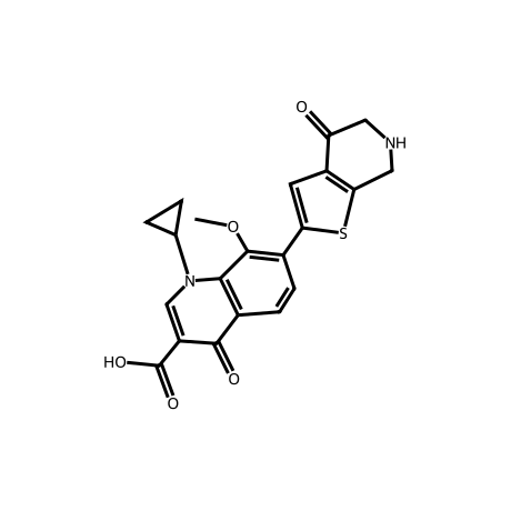 COc1c(-c2cc3c(s2)CNCC3=O)ccc2c(=O)c(C(=O)O)cn(C3CC3)c12